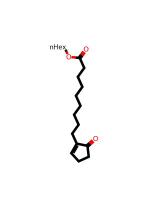 CCCCCCOC(=O)CCCCCCCCC1=CCCC1=O